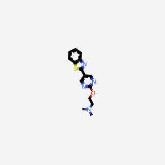 CN(C)CCOc1n[c]c(-c2nc3ccccc3s2)cn1